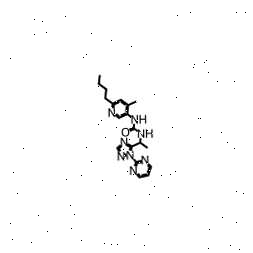 CCCCc1cc(C)c(NC(=O)NC(C)c2ncnn2-c2ncccn2)cn1